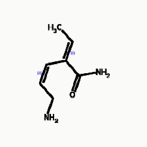 C/C=C(\C=C/CN)C(N)=O